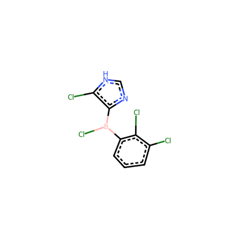 ClB(c1cccc(Cl)c1Cl)c1nc[nH]c1Cl